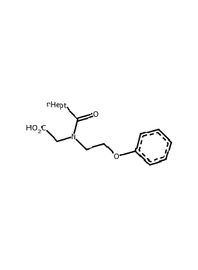 CCCCCCCC(=O)N(CCOc1ccccc1)CC(=O)O